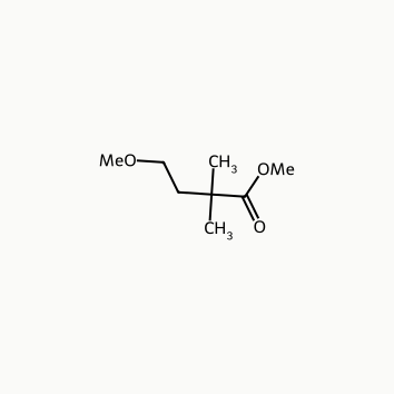 COCCC(C)(C)C(=O)OC